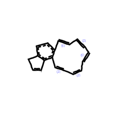 [C]1=CCc2ccc3c(c21)\C=C/C=C\C=C\C=C/C=C/3